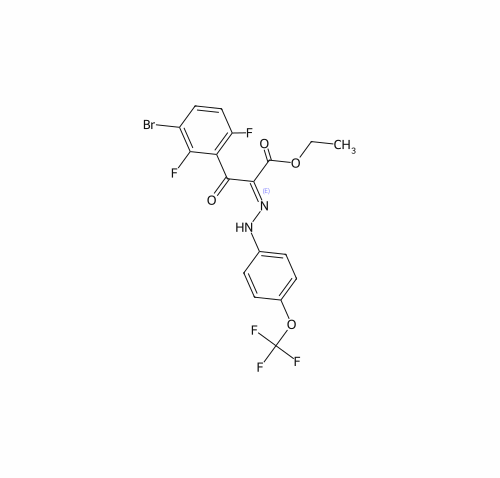 CCOC(=O)/C(=N/Nc1ccc(OC(F)(F)F)cc1)C(=O)c1c(F)ccc(Br)c1F